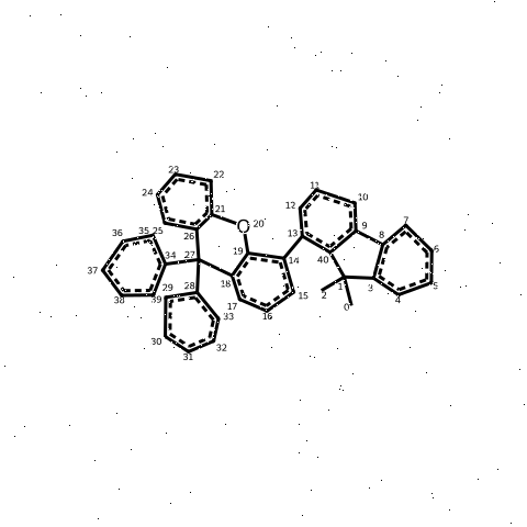 CC1(C)c2ccccc2-c2cccc(-c3cccc4c3Oc3ccccc3C4(c3ccccc3)c3ccccc3)c21